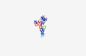 Cc1nn2c3c(nc2s1)CCN(C(=O)COc1ccc(N2CC(F)(F)C2)nc1Cl)C3c1cc(C(=O)N(C)C)cs1